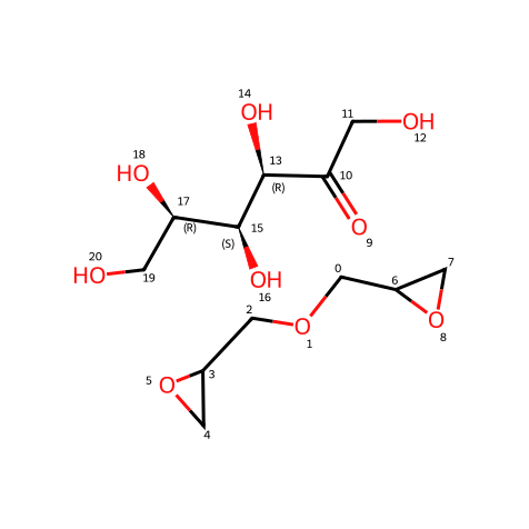 C(OCC1CO1)C1CO1.O=C(CO)[C@H](O)[C@@H](O)[C@H](O)CO